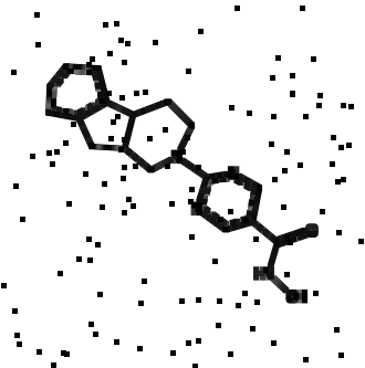 O=C(NO)c1cnc(N2CCC3c4ccccc4CC3C2)nc1